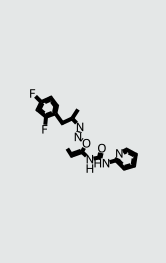 C/C=C(/NC(=O)Nc1ccccn1)ON=NC(C)Cc1ccc(F)cc1F